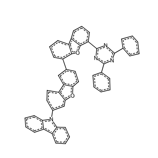 c1ccc(-c2nc(-c3ccccc3)nc(-c3cccc4c3oc3c(-c5ccc6oc7cc(-n8c9ccccc9c9ccccc98)ccc7c6c5)cccc34)n2)cc1